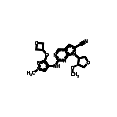 CO[C@@H]1COCC1n1c(C#N)cc2cnc(Nc3cn(C)nc3OC3COC3)nc21